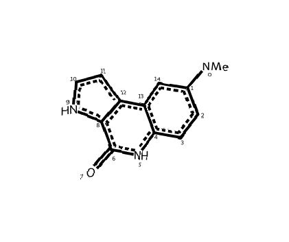 CNc1ccc2[nH]c(=O)c3[nH]ccc3c2c1